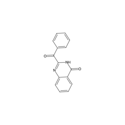 O=C(c1ccccc1)c1nc2ccccc2c(=O)[nH]1